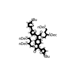 CCCCCCCCCCCCC(CCCCCCCCCC)CN1C(=O)C(c2ccc(-c3ccc(C(C)(C)C)s3)o2)=c2cc3c(cc21)=C(c1ccc(C(C)(C)C)o1)C(=O)N3CC(CCCCCCCCCC)CCCCCCCCCCCC